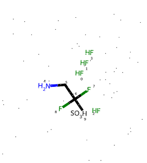 F.F.F.F.NCC(F)(F)S(=O)(=O)O